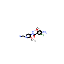 COc1cc(N)c(Cl)cc1C(=O)NC1CCN(CCC#N)CC1OC